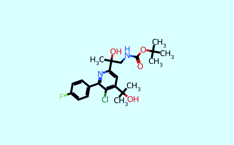 CC(C)(C)OC(=O)NCC(C)(O)c1cc(C(C)(C)O)c(Cl)c(-c2ccc(F)cc2)n1